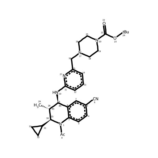 CC(=O)N1c2ccc(C#N)cc2[C@H](Nc2cccc(CN3CCN(C(=O)OC(C)(C)C)CC3)n2)[C@@H](C)[C@@H]1C1CC1